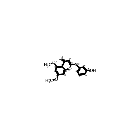 COc1cc(OC)c2c(=O)cc(Sc3cccc(O)c3)oc2c1